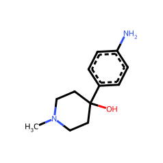 CN1CCC(O)(c2ccc(N)cc2)CC1